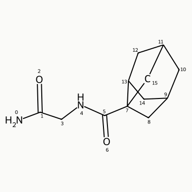 NC(=O)CNC(=O)C12CC3CC(CC1C3)C2